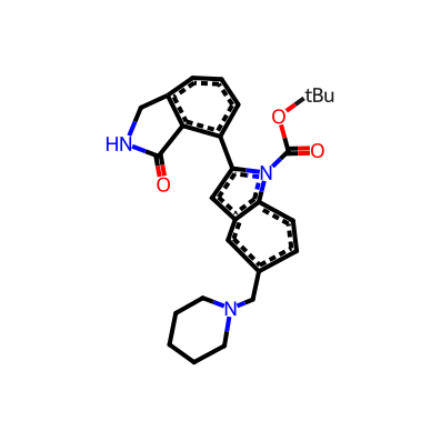 CC(C)(C)OC(=O)n1c(-c2cccc3c2C(=O)NC3)cc2cc(CN3CCCCC3)ccc21